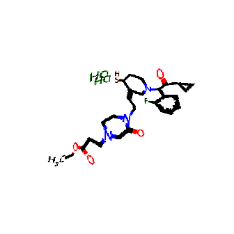 CCOC(=O)CCN1CCN(CC=C2CN(C(C(=O)C3CC3)c3ccccc3F)CCC2S)C(=O)C1.Cl.Cl